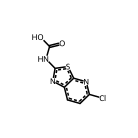 O=C(O)Nc1nc2ccc(Cl)nc2s1